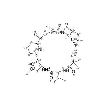 COCC1NC(=O)C(C(C)C)NC(=O)C(C)(C)/C=C/c2ccc3ccc(nc3c2)[C@@H](C)OC(=O)C2CCCN(N2)C1=O